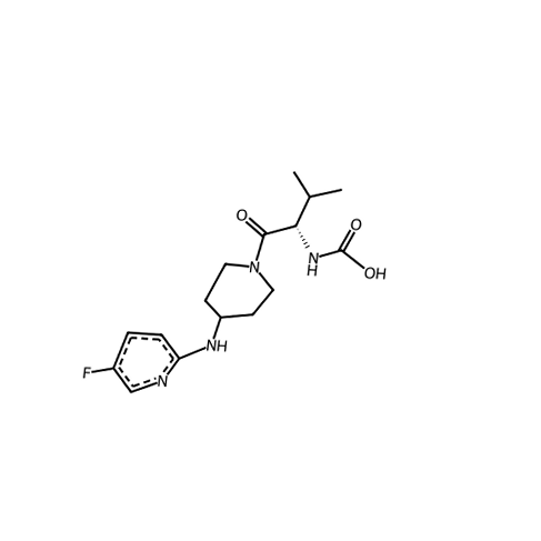 CC(C)[C@H](NC(=O)O)C(=O)N1CCC(Nc2ccc(F)cn2)CC1